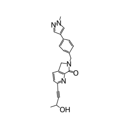 CC(O)C#Cc1ccc2c(n1)C(=O)N(Cc1ccc(-c3cnn(C)c3)cc1)C2